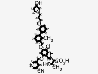 Cc1c(COc2cc(OCc3cncc(C#N)c3)c(CNC(C(=O)O)C(C)O)cc2Cl)cccc1-c1cccc(OCCCN2CCC(O)C2)c1